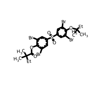 CCC(C)(C)Oc1c(Br)cc(S(=O)(=O)c2cc(Br)c(OC(=O)C(C)(C)CC)c(Br)c2)cc1Br